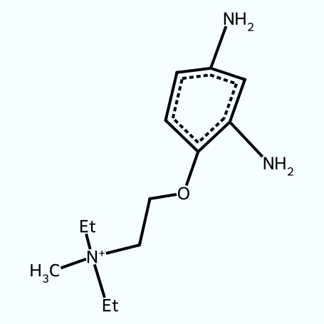 CC[N+](C)(CC)CCOc1ccc(N)cc1N